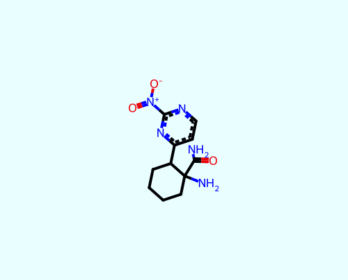 NC(=O)C1(N)CCCCC1c1ccnc([N+](=O)[O-])n1